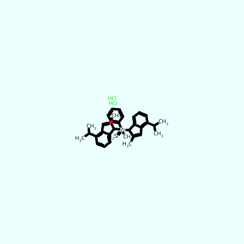 CC1=Cc2c(C(C)C)cccc2[CH]1[Zr]([CH3])(=[SiH2])([c]1ccccc1)[CH]1C(C)=Cc2c(C(C)C)cccc21.Cl.Cl